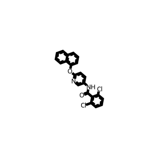 O=C(Nc1ccc(Oc2cccc3ccccc23)nc1)c1c(Cl)cccc1Cl